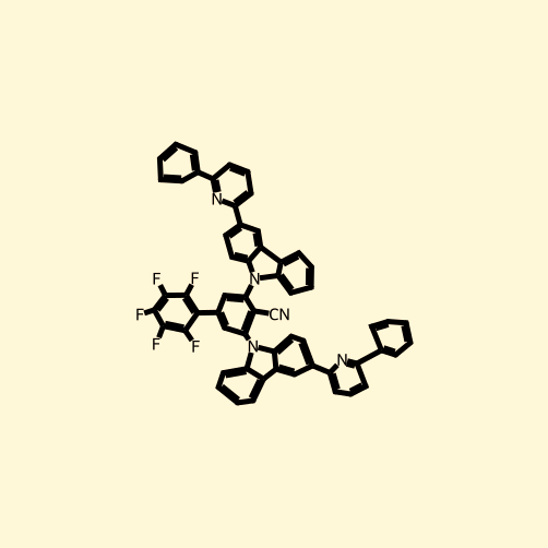 N#Cc1c(-n2c3ccccc3c3cc(-c4cccc(-c5ccccc5)n4)ccc32)cc(-c2c(F)c(F)c(F)c(F)c2F)cc1-n1c2ccccc2c2cc(-c3cccc(-c4ccccc4)n3)ccc21